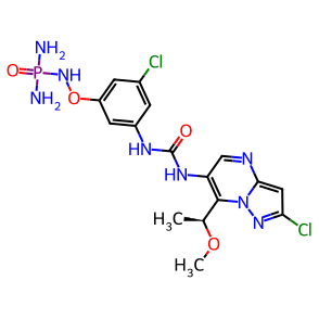 CO[C@@H](C)c1c(NC(=O)Nc2cc(Cl)cc(ONP(N)(N)=O)c2)cnc2cc(Cl)nn12